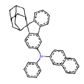 c1ccc(N(c2ccc3c(c2)-c2ccccc2C32C3CC4CC(C3)CC2C4)c2ccc3ccccc3c2)cc1